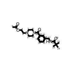 CC(=O)OCCN1CCN(C(=O)c2cccc(CNC(=O)C(C)(C)C)c2)CC1